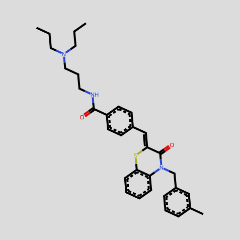 CCCN(CCC)CCCNC(=O)c1ccc(/C=C2\Sc3ccccc3N(Cc3cccc(C)c3)C2=O)cc1